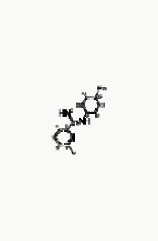 Cc1cccc(C(=N)Nc2ccc(F)cc2)n1